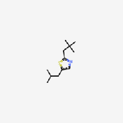 CC(C)Cc1cnc(CC(C)(C)C)s1